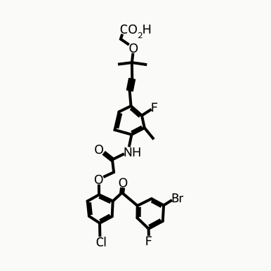 Cc1c(NC(=O)COc2ccc(Cl)cc2C(=O)c2cc(F)cc(Br)c2)ccc(C#CC(C)(C)OCC(=O)O)c1F